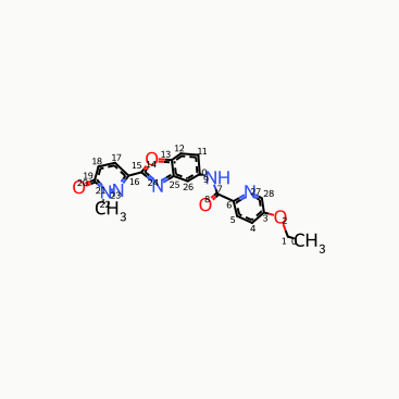 CCOc1ccc(C(=O)Nc2ccc3oc(-c4ccc(=O)n(C)n4)nc3c2)nc1